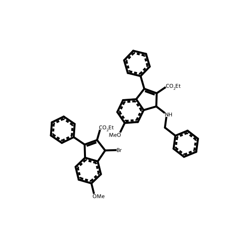 CCOC(=O)C1=C(c2ccccc2)c2ccc(OC)cc2C1Br.CCOC(=O)C1=C(c2ccccc2)c2ccc(OC)cc2C1NCc1ccccc1